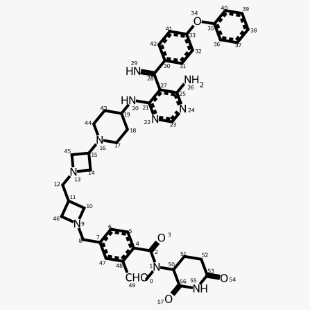 CN(C(=O)c1ccc(CN2CC(CN3CC(N4CCC(Nc5ncnc(N)c5C(=N)c5ccc(Oc6ccccc6)cc5)CC4)C3)C2)cc1C=O)C1CCC(=O)NC1=O